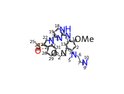 COc1cc(N(C)CCN(C)C)c([N+](=O)[O-])cc1Nc1nccc(-n2cc([S+](C)[O-])c3ccccc32)n1